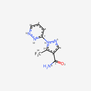 NC(=O)c1cnn(-c2cccnn2)c1C(F)(F)F